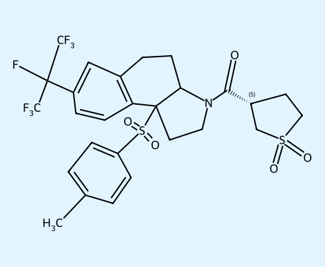 Cc1ccc(S(=O)(=O)C23CCN(C(=O)[C@@H]4CCS(=O)(=O)C4)C2CCc2cc(C(F)(C(F)(F)F)C(F)(F)F)ccc23)cc1